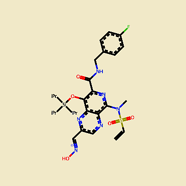 C=CS(=O)(=O)N(C)c1nc(C(=O)NCc2ccc(F)cc2)c(O[Si](C(C)C)(C(C)C)C(C)C)c2nc(/C=N/O)cnc12